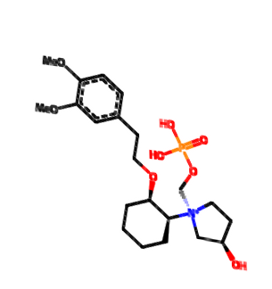 COc1ccc(CCO[C@@H]2CCCC[C@@H]2[N@@+]2(COP(=O)(O)O)CC[C@@H](O)C2)cc1OC